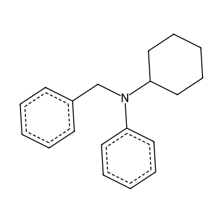 c1ccc(CN(c2ccccc2)C2CCCCC2)cc1